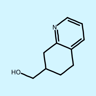 OCC1CCc2cccnc2C1